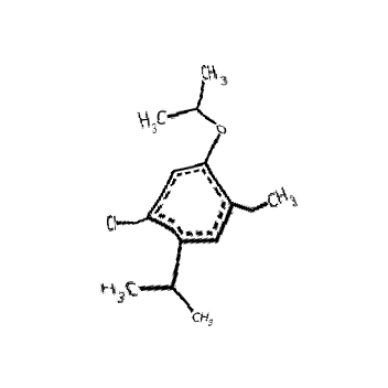 Cc1cc(C(C)C)c(Cl)cc1OC(C)C